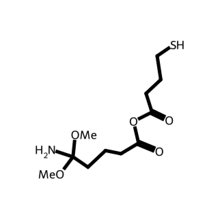 COC(N)(CCCC(=O)OC(=O)CCCS)OC